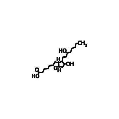 CCCCC[C@H](O)/C=C/[C@H]1C(O)C[C@@H]2O/C(=C\CCCC(=O)O)C[C@@H]21